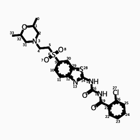 CC1CN(CCS(=O)(=O)c2ccc3nc(NC(=O)NC(=O)c4ccccc4Cl)sc3c2)CC(C)O1